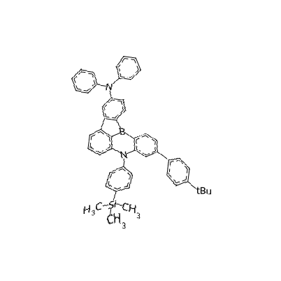 CC(C)(C)c1ccc(-c2ccc3c(c2)N(c2ccc([Si](C)(C)C)cc2)c2cccc4c2B3c2ccc(N(c3ccccc3)c3ccccc3)cc2-4)cc1